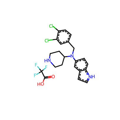 Clc1ccc(CN(c2ccc3[nH]ccc3c2)C2CCNCC2)cc1Cl.O=C(O)C(F)(F)F